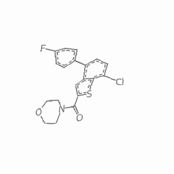 O=C(c1cc2c(-c3ccc(F)cc3)ccc(Cl)c2s1)N1CCOCC1